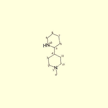 CN1CCC(C2CCCCN2)CC1